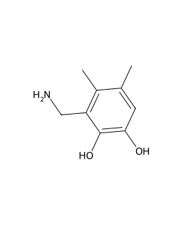 Cc1cc(O)c(O)c(CN)c1C